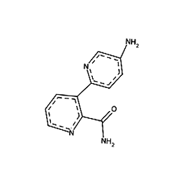 NC(=O)c1ncccc1-c1ccc(N)cn1